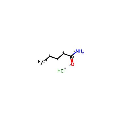 Cl.NC(=O)CCCC(F)(F)F